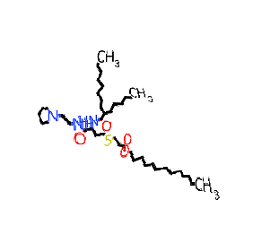 CCCCCCCCCCCCCOC(=O)CCSCCC(NC(=O)C(CCCCCC)CCCCCCCC)C(=O)NCCN1CCCCC1